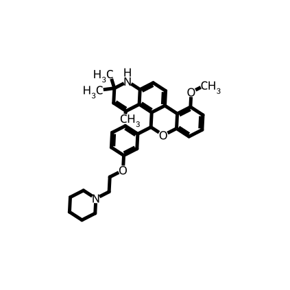 COc1cccc2c1-c1ccc3c(c1C(c1cccc(OCCN4CCCCC4)c1)O2)C(C)=CC(C)(C)N3